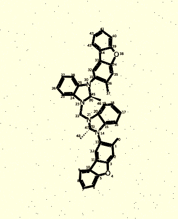 Cc1cc2oc3ccccc3c2cc1N1c2ccccc2N(CN2c3ccccc3N(c3cc4c(cc3C)oc3ccccc34)[C@H]2C)[C@H]1C